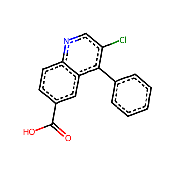 O=C(O)c1ccc2ncc(Cl)c(-c3ccccc3)c2c1